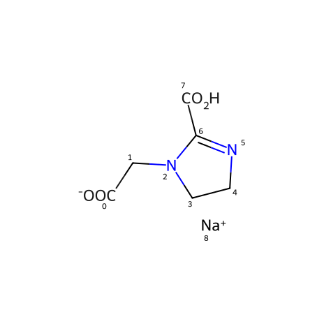 O=C([O-])CN1CCN=C1C(=O)O.[Na+]